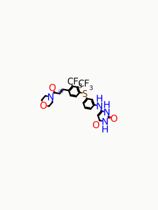 O=C(/C=C/c1ccc(Sc2cccc(Nc3cc(=O)[nH]c(=O)[nH]3)c2)c(C(F)(F)F)c1C(F)(F)F)N1CCOCC1